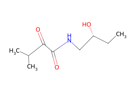 CC[C@@H](O)CNC(=O)C(=O)C(C)C